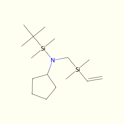 C=C[Si](C)(C)CN(C1CCCC1)[Si](C)(C)C(C)(C)C